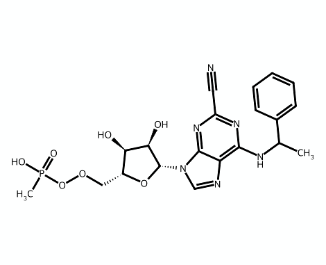 CC(Nc1nc(C#N)nc2c1ncn2[C@@H]1O[C@H](COOP(C)(=O)O)[C@@H](O)[C@H]1O)c1ccccc1